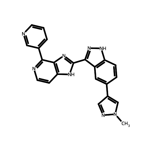 Cn1cc(-c2ccc3[nH]nc(-c4nc5c(-c6cccnc6)nccc5[nH]4)c3c2)cn1